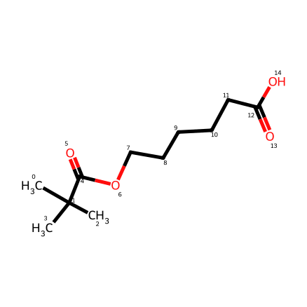 CC(C)(C)C(=O)OCCCCCC(=O)O